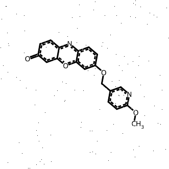 COc1ccc(COc2ccc3nc4ccc(=O)cc-4oc3c2)cn1